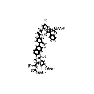 COC[C@H]1C[C@@H](c2nc3ccc4cc5c(cc4c3[nH]2)OCc2cc(-c3cnc([C@@H]4C[C@H](C)CN4C(=O)[C@H](NC(=O)OC)c4ccccc4)[nH]3)ccc2-5)N(C(=O)[C@@H](NC(=O)OC)C(C)C)C1